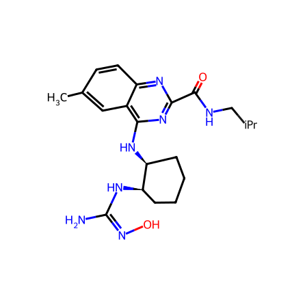 Cc1ccc2nc(C(=O)NCC(C)C)nc(N[C@H]3CCCC[C@H]3N/C(N)=N\O)c2c1